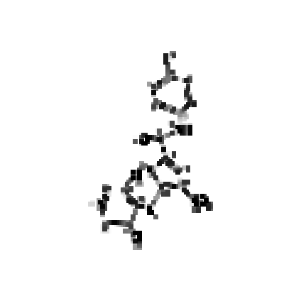 O=C(Nc1ccc(F)cc1)c1cc([N+](=O)[O-])c(Sc2c(Cl)cncc2Cl)s1